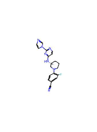 N#Cc1ccc(N2CCC[C@@H](Nc3ccnc(-n4ccnc4)n3)C2)c(F)c1